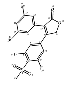 CS(=O)(=O)c1c(F)cc(C2=C(c3cc(Br)cc(Br)c3)C(=O)OC2)cc1F